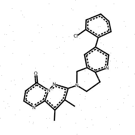 Cc1c(N2CCc3ncc(-c4ccccc4Cl)cc3C2)nn2c(=O)ccnc2c1C